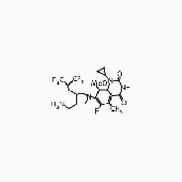 COc1c(N2CC(CN)C(CC(C(F)(F)F)C(F)(F)F)C2)c(F)c(C)c2c(=O)[nH]c(=O)n(C3CC3)c12